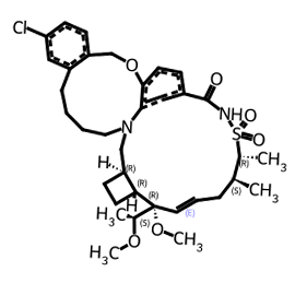 CO[C@@H](C)[C@]1(OC)/C=C/C[C@H](C)[C@@H](C)S(=O)(=O)NC(=O)c2ccc3c(c2)N(CCCCc2cc(Cl)ccc2CO3)C[C@@H]2CC[C@H]21